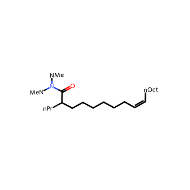 CCCCCCCC/C=C\CCCCCCC(CCC)C(=O)N(NC)NC